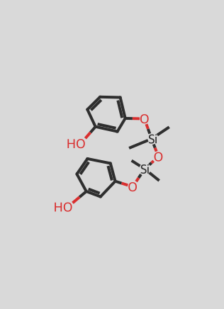 C[Si](C)(Oc1cccc(O)c1)O[Si](C)(C)Oc1cccc(O)c1